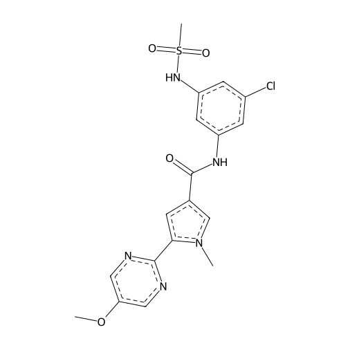 COc1cnc(-c2cc(C(=O)Nc3cc(Cl)cc(NS(C)(=O)=O)c3)cn2C)nc1